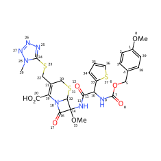 COc1ccc(COC(=O)NC(C(=O)NC2(OC)C(=O)N3C(C(=O)O)=C(CSc4nnnn4C)CSC32)c2cccs2)cc1